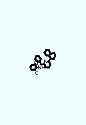 Clc1cccc(Cl)c1NC(c1ccccc1)c1cccc(-c2cccc3ccccc23)n1